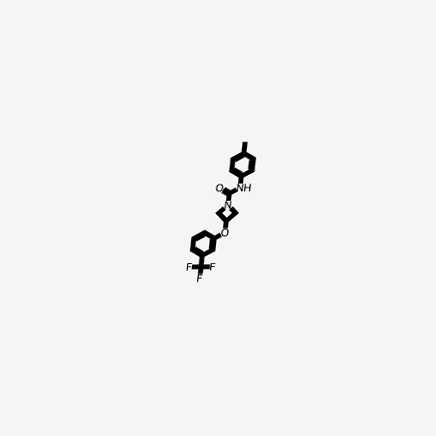 Cc1ccc(NC(=O)N2CC(Oc3cccc(C(F)(F)F)c3)C2)cc1